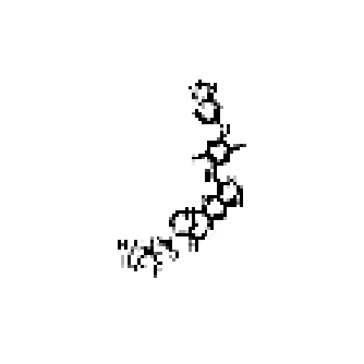 CC(C)(C)OC(=O)N1CCN2C[C@H]1COc1cc3ncnc(Nc4cc(F)c(Oc5ccn6ncnc6c5)cc4F)c3nc12